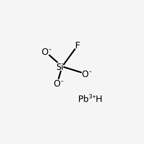 [O-][Si]([O-])([O-])F.[PbH+3]